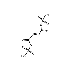 O=C(/C=C/C(=O)OS(=O)(=O)O)OS(=O)(=O)O